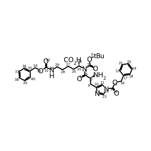 CC(C)(C)OC(=O)N(C(=O)[C@@H](N)Cc1cn(C(=O)OCc2ccccc2)cn1)[C@@H](CCCCNC(=O)OCc1ccccc1)C(=O)O